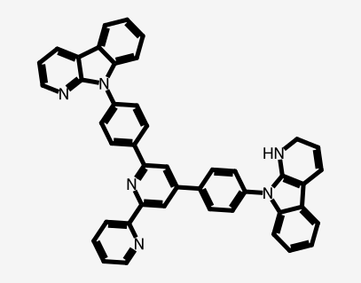 C1=Cc2c(n(-c3ccc(-c4cc(-c5ccc(-n6c7ccccc7c7cccnc76)cc5)nc(-c5ccccn5)c4)cc3)c3ccccc23)NC1